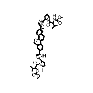 COC(=O)NC(C(=O)N1CCCC1c1ncc(-c2ccc3c(c2)COc2c-3ccc3cc(-c4cnc(C5CCCN5C(=O)C(NC(=O)OC)C(C)C)[nH]4)ccc23)[nH]1)C(C)C